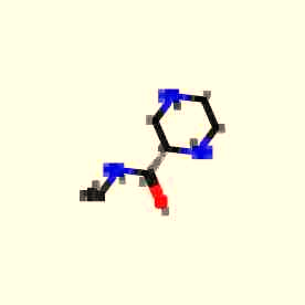 CCCCNC(=O)[C@@H]1CNCCN1